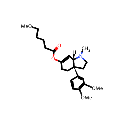 COCCCCC(=O)OC1=C[C@@H]2N(C)CC[C@]2(c2ccc(OC)c(OC)c2)CC1